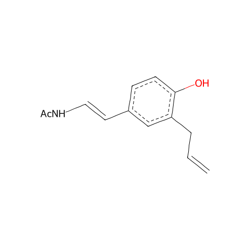 C=CCc1cc(C=CNC(C)=O)ccc1O